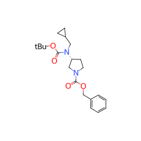 CC(C)(C)OC(=O)N(CC1CC1)[C@@H]1CCN(C(=O)OCc2ccccc2)C1